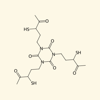 CC(=O)C(S)CCn1c(=O)n(CCC(S)C(C)=O)c(=O)n(CCC(S)C(C)=O)c1=O